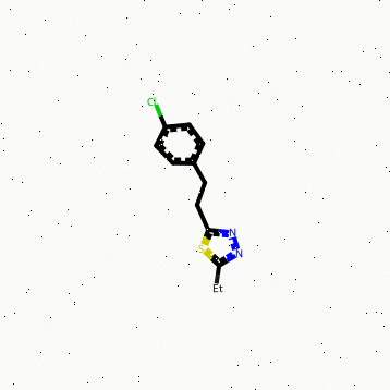 CCc1nnc(CCc2ccc(Cl)cc2)s1